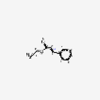 O=C(/C=C/c1ccccc1)OCP